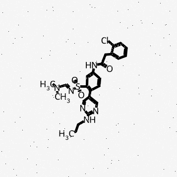 CCCNc1ncc(-c2ccc(NC(=O)Cc3ccccc3Cl)cc2S(=O)(=O)N=CN(C)C)cn1